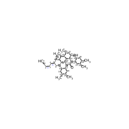 C#C/C=C\C=C(\C#N)CB1c2cc(C)c(C)cc2N2C(=O)N3c4cc(C)c(C)cc4Bc4cc(C)c5c(C)cc1c2c5c43